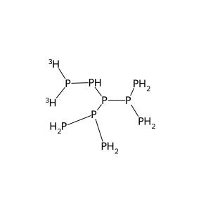 [3H]P([3H])PP(P(P)P)P(P)P